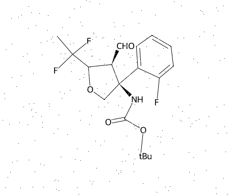 CC(C)(C)OC(=O)N[C@@]1(c2ccccc2F)COC(C(C)(F)F)[C@H]1C=O